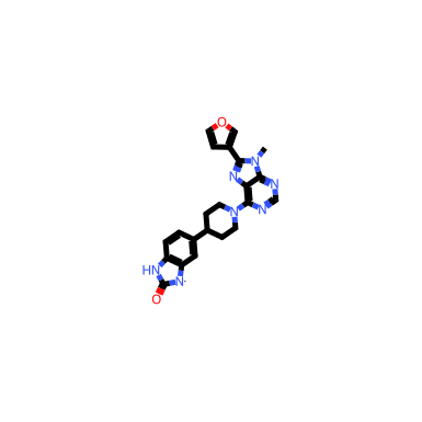 Cn1c(-c2ccoc2)nc2c(N3CCC(c4ccc5c(c4)[N]C(=O)N5)CC3)ncnc21